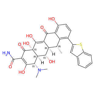 C[C@H]1c2c(-c3cc4ccccc4s3)ccc(O)c2C(=O)C2=C(O)[C@]3(O)C(=O)C(C(N)=O)=C(O)[C@@H](N(C)C)[C@@H]3[C@@H](O)[C@@H]21